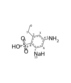 CCc1cc(N)ccc1S(=O)(=O)O.[NaH]